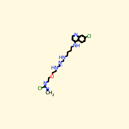 C=N/C(Cl)=N\CCOCCN/C=N/CNCCCCNc1ccnc2cc(Cl)ccc12